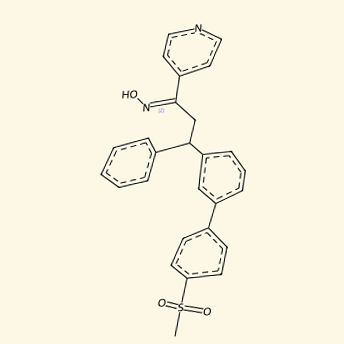 CS(=O)(=O)c1ccc(-c2cccc(C(C/C(=N/O)c3ccncc3)c3ccccc3)c2)cc1